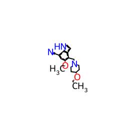 CCOC1CCN(Cc2c(OC)cc(C#N)c3[nH]ccc23)CC1